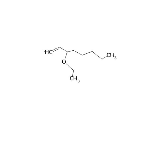 [CH]=CC(CCCCC)OCC